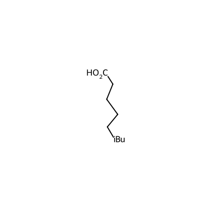 CCC(C)CCCCC(=O)O